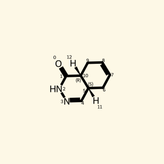 O=C1NN=C[C@H]2CC=CC[C@@H]12